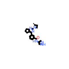 C[C@H]1CCN1c1nc2c(c(-c3cccc(C(=O)Nc4cn[nH]c4)c3)n1)CCC2